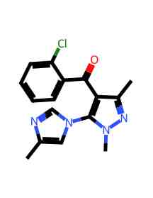 Cc1cn(-c2c(C(=O)c3ccccc3Cl)c(C)nn2C)cn1